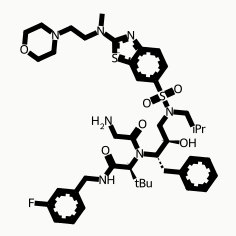 CC(C)CN(C[C@@H](O)[C@H](Cc1ccccc1)N(C(=O)CN)[C@H](C(=O)NCc1cccc(F)c1)C(C)(C)C)S(=O)(=O)c1ccc2nc(N(C)CCN3CCOCC3)sc2c1